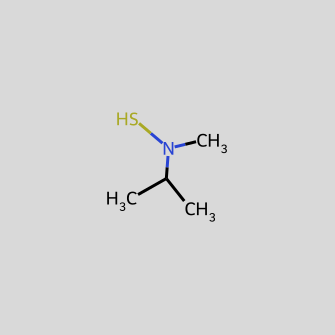 CC(C)N(C)S